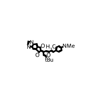 CNc1ccc(C=CC2=CC(=C3C(=O)c4cc5nccnc5cc4C3=O)C=C(C(C)(C)C)O2)c(C)c1